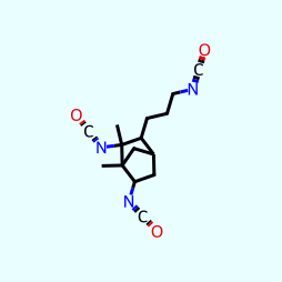 CC12CC(CC1N=C=O)C(CCCN=C=O)C2(C)N=C=O